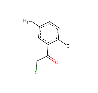 Cc1ccc(C)c(C(=O)CCl)c1